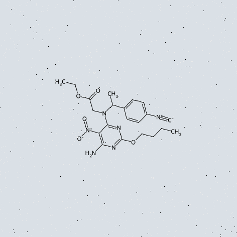 [C-]#[N+]c1ccc(C(C)N(CC(=O)OCC)c2nc(OCCCC)nc(N)c2[N+](=O)[O-])cc1